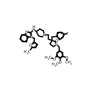 COc1cc(CN2CCC(CCN3CCC(Nc4nc5ccccc5n4Cc4ccc(C)o4)CC3)(Cc3ccc(F)cc3)C2=O)cc(OC)c1OC